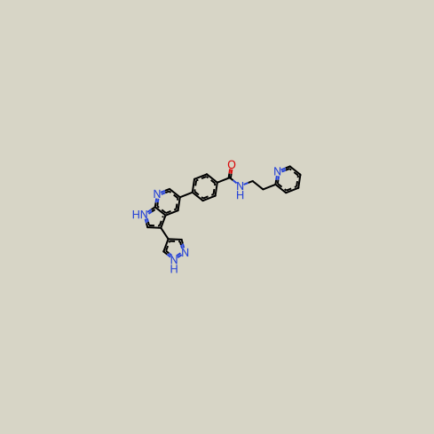 O=C(NCCc1ccccn1)c1ccc(-c2cnc3[nH]cc(-c4cn[nH]c4)c3c2)cc1